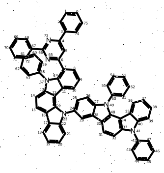 c1ccc(-c2cc(-c3cccc4c5c(ccc6c7ccccc7n(-c7ccc8c(c7)c7ccc9c(c%10ccccc%10n9-c9ccccc9)c7n8-c7ccccc7)c65)n(-c5ccccc5)c34)nc(-c3ccccc3)n2)cc1